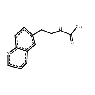 O=C(O)NCCc1ccc2ncccc2c1